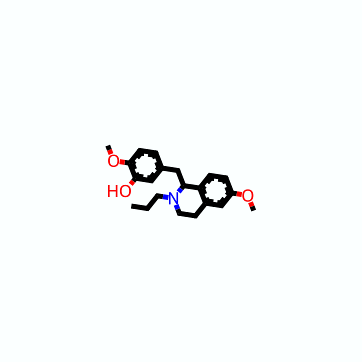 CCCN1CCc2cc(OC)ccc2C1Cc1ccc(OC)c(O)c1